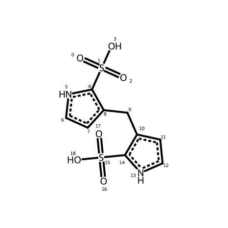 O=S(=O)(O)c1[nH]ccc1Cc1cc[nH]c1S(=O)(=O)O